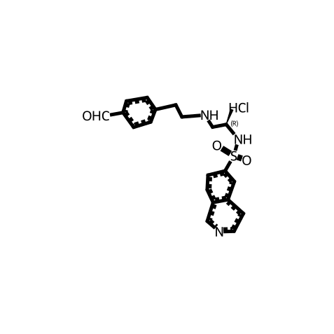 C[C@H](CNCCc1ccc(C=O)cc1)NS(=O)(=O)c1ccc2cnccc2c1.Cl